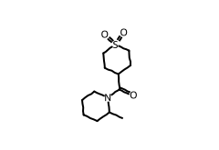 CC1CCCCN1C(=O)C1CCS(=O)(=O)CC1